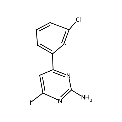 Nc1nc(I)cc(-c2[c]c(Cl)ccc2)n1